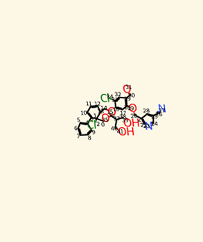 CC1(Cl)C(c2ccccc2)=CC=CC1(COc1cc(OCc2cncc(C#N)c2)c(C=O)cc1Cl)OCC(CO)CO